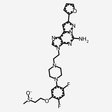 C[S+]([O-])CCOc1cc(N2CCN(CCn3cnc4c3nc(N)n3nc(-c5ccco5)cc43)CC2)c(F)cc1F